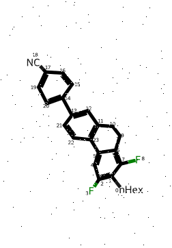 CCCCCCc1c(F)cc2c(c1F)CCc1cc(-c3ccc(C#N)cc3)ccc1-2